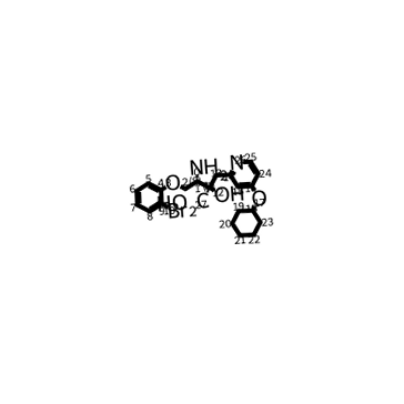 N[C@@H](COc1ccccc1Br)[C@](O)(Cc1cc(OC2CCCCC2)ccn1)C(=O)O